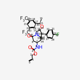 C=CCOC(=O)NC1CC(=O)N2C[C@H](O[C@H](C)c3cc(C(F)(F)F)cc(C(F)(F)F)c3)[C@@H](c3ccc(F)cc3)[C@@H]2C1